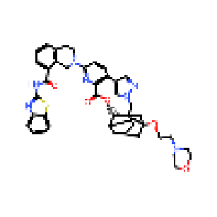 CC(C)(C)OC(=O)c1nc(N2CCc3cccc(C(=O)Nc4nc5ccccc5s4)c3C2)ccc1-c1cnn(CC23CC4CC(C2)CC(OCCN2CCOCC2)(C4)C3)c1